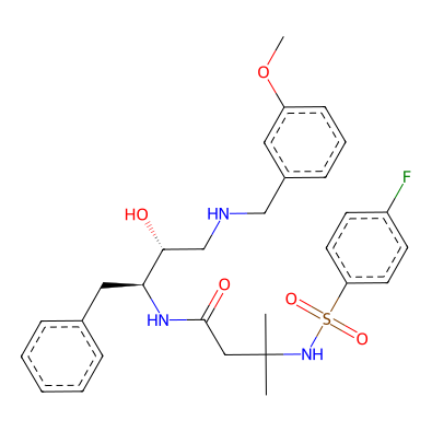 COc1cccc(CNC[C@@H](O)[C@H](Cc2ccccc2)NC(=O)CC(C)(C)NS(=O)(=O)c2ccc(F)cc2)c1